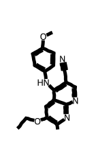 CCOc1cc2c(Nc3ccc(OC)cc3)c(C#N)cnc2nc1C